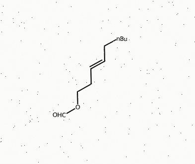 CCCCC/C=C/CCOC=O